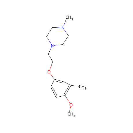 COc1ccc(OCCN2CCN(C)CC2)cc1C